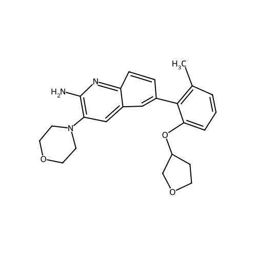 Cc1cccc(OC2CCOC2)c1-c1ccc2nc(N)c(N3CCOCC3)cc2c1